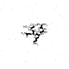 CC(C)[C@H](N)C(=O)N[C@H](C(=O)N[C@@H](CCCCN)C(=O)N[C@@H](CCC(N)=O)C(=O)N[C@@H](CC(=O)O)C(=O)O)C(C)C